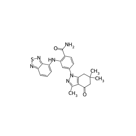 Cc1nn(-c2ccc(C(N)=O)c(Nc3cccc4nsnc34)c2)c2c1C(=O)CC(C)(C)C2